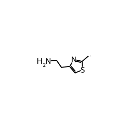 [CH2]c1nc(CCN)cs1